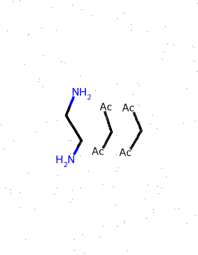 CC(=O)CC(C)=O.CC(=O)CC(C)=O.NCCN